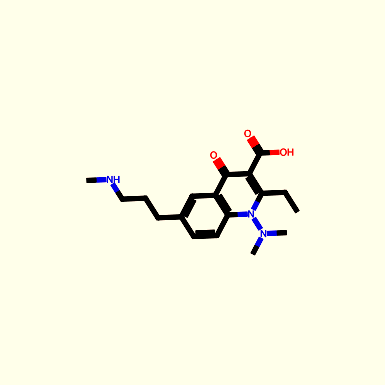 CCc1c(C(=O)O)c(=O)c2cc(CCCNC)ccc2n1N(C)C